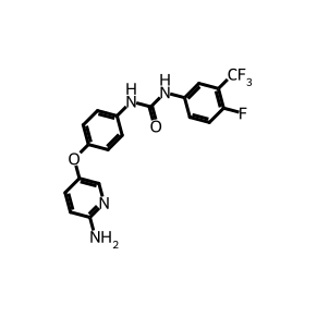 Nc1ccc(Oc2ccc(NC(=O)Nc3ccc(F)c(C(F)(F)F)c3)cc2)cn1